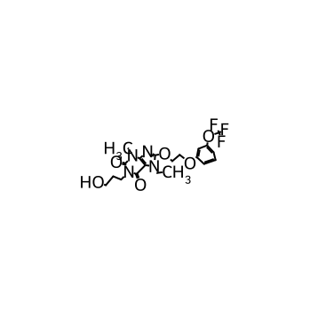 CCn1c(OCCOc2cccc(OC(F)(F)F)c2)nc2c1c(=O)n(CCCO)c(=O)n2C